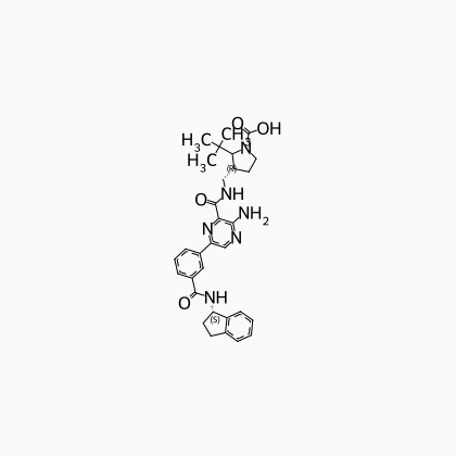 CC(C)(C)C1[C@@H](CNC(=O)c2nc(-c3cccc(C(=O)N[C@H]4CCc5ccccc54)c3)cnc2N)CCN1C(=O)O